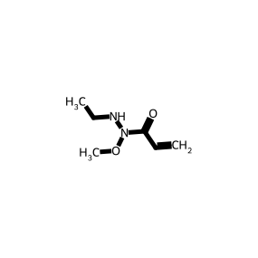 C=CC(=O)N(NCC)OC